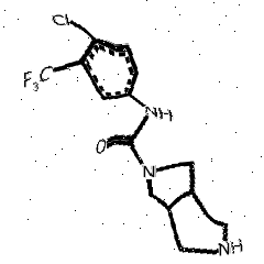 O=C(Nc1ccc(Cl)c(C(F)(F)F)c1)N1CC2CNCC2C1